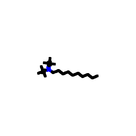 CCCCCCCCCCN([Si](C)(C)C)[Si](C)(C)C